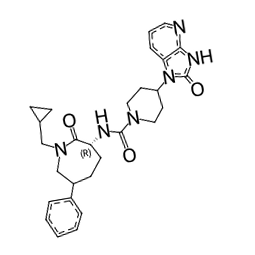 O=C(N[C@@H]1CCC(c2ccccc2)CN(CC2CC2)C1=O)N1CCC(n2c(=O)[nH]c3ncccc32)CC1